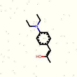 CCN(CC)c1ccc(C=C(C)O)cc1